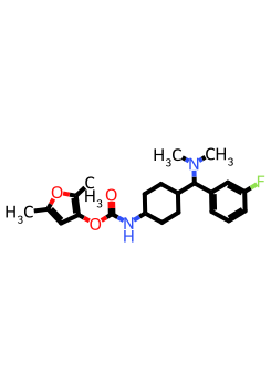 Cc1cc(OC(=O)NC2CCC(C(c3cccc(F)c3)N(C)C)CC2)c(C)o1